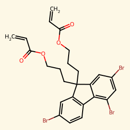 C=CC(=O)OCCCC1(CCCOC(=O)C=C)c2cc(Br)ccc2-c2c(Br)cc(Br)cc21